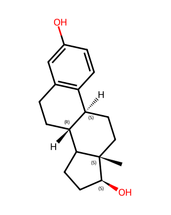 C[C@]12CC[C@@H]3c4ccc(O)cc4CC[C@H]3C1CC[C@@H]2O